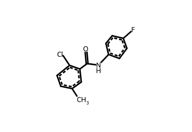 Cc1ccc(Cl)c(C(=O)Nc2ccc(F)cc2)c1